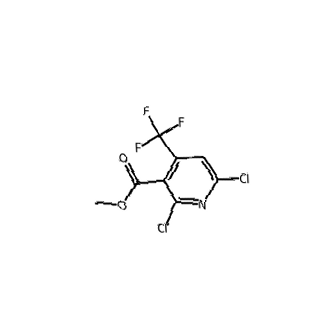 COC(=O)c1c(C(F)(F)F)cc(Cl)nc1Cl